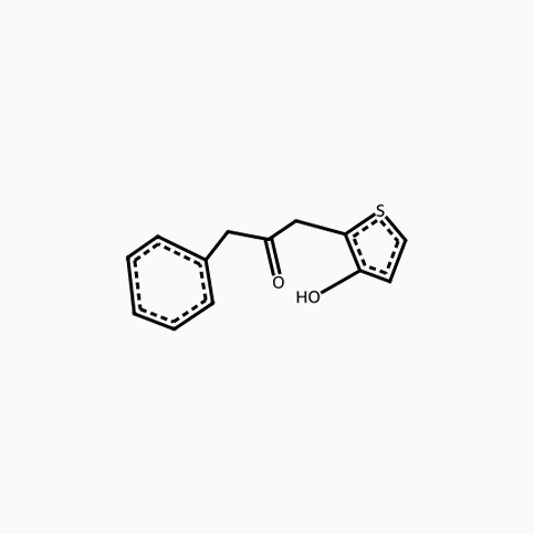 O=C(Cc1ccccc1)Cc1sccc1O